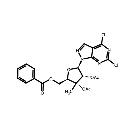 CC(=O)O[C@H]1[C@H](n2ncc3c(Cl)nc(Cl)nc32)O[C@H](COC(=O)c2ccccc2)[C@@]1(C)OC(C)=O